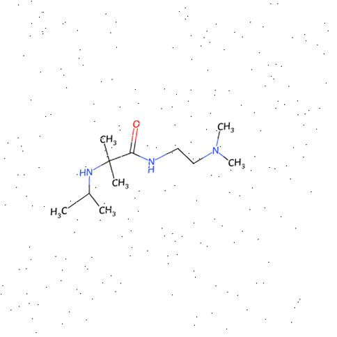 CC(C)NC(C)(C)C(=O)NCCN(C)C